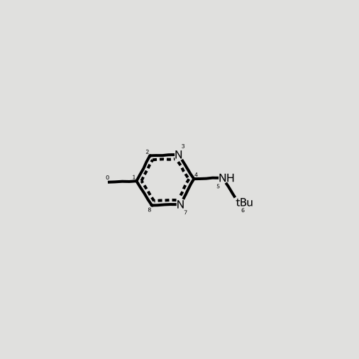 Cc1cnc(NC(C)(C)C)nc1